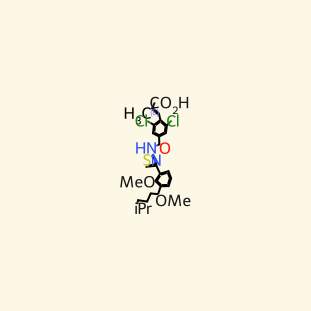 COc1c(-c2csc(NC(=O)c3cc(Cl)c(/C=C(\C)C(=O)O)c(Cl)c3)n2)cccc1C(CCCC(C)C)OC